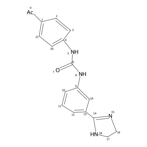 CC(=O)c1ccc(NC(=O)Nc2cccc(C3=NCCN3)c2)cc1